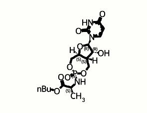 CCCCOC(=O)[C@H](C)N[P@]1(=O)OC[C@H]2[C@@H](O)[C@H](n3ccc(=O)[nH]c3=O)O[C@@H]2CO1